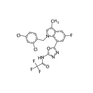 Cc1cn(Cc2ccc(Cl)cc2Cl)c2c(-c3nnc(NC(=O)C(F)(F)F)o3)cc(F)cc12